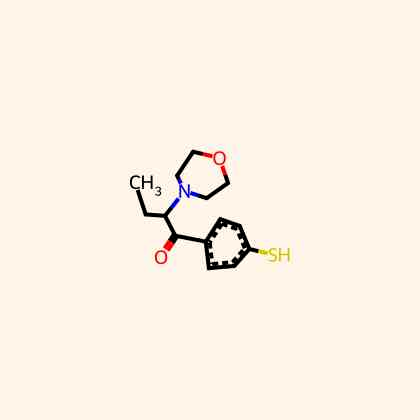 CCC(C(=O)c1ccc(S)cc1)N1CCOCC1